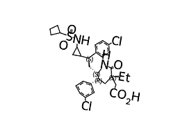 CC[C@@]1(CC(=O)O)C[C@H](c2cccc(Cl)c2)[C@H](C[C@H](c2ccc(Cl)cc2)C2CC2NS(=O)(=O)C2CCC2)NC1=O